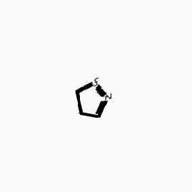 [CH]1C=NSC1